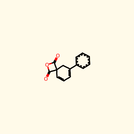 O=C1OC(=O)C12C=CC=C(c1ccccc1)C2